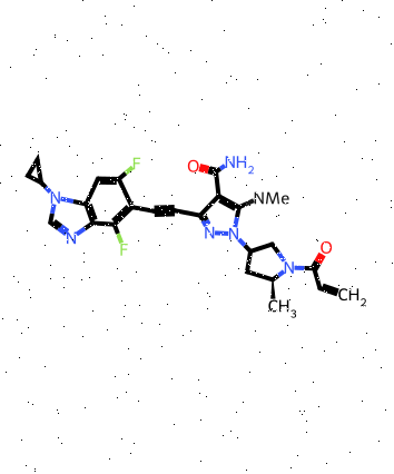 C=CC(=O)N1CC(n2nc(C#Cc3c(F)cc4c(ncn4C4CC4)c3F)c(C(N)=O)c2NC)C[C@@H]1C